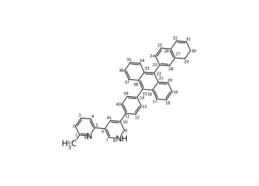 Cc1cccc(C2=CNCC(c3ccc(-c4c5ccccc5c(-c5ccc6c(c5)CCC=C6)c5ccccc45)cc3)=C2)n1